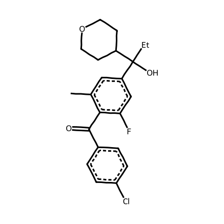 CCC(O)(c1cc(C)c(C(=O)c2ccc(Cl)cc2)c(F)c1)C1CCOCC1